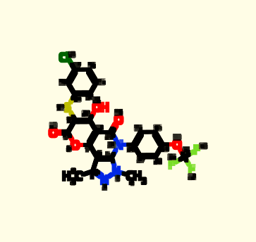 Cc1nn(C)c2c1c1oc(=O)c(Sc3cccc(Cl)c3)c(O)c1c(=O)n2-c1ccc(OC(F)(F)F)cc1